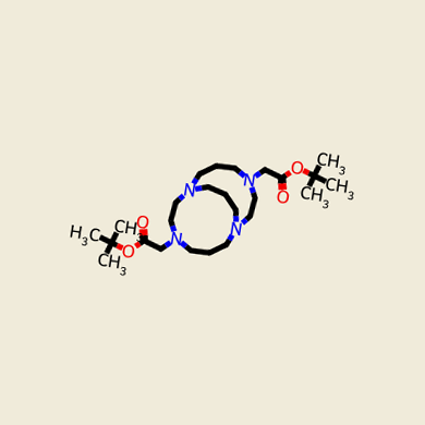 CC(C)(C)OC(=O)CN1CCCN2CCCN(CCCN(CC(=O)OC(C)(C)C)CC2)CC1